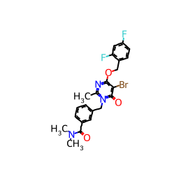 Cc1nc(OCc2ccc(F)cc2F)c(Br)c(=O)n1Cc1cccc(C(=O)N(C)C)c1